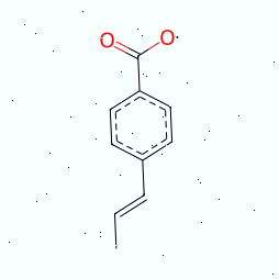 C/C=C/c1ccc(C([O])=O)cc1